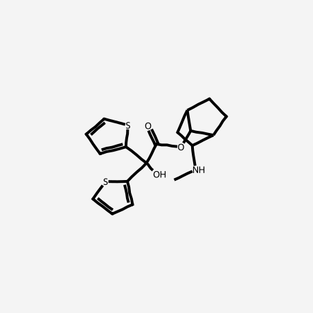 CNC1CC2CCC1C2OC(=O)C(O)(c1cccs1)c1cccs1